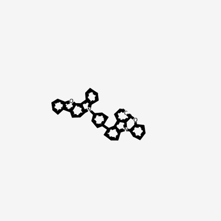 c1ccc2c(c1)Oc1cccc3c4c(-c5ccc(-n6c7ccccc7c7c8oc9ccccc9c8ccc76)cc5)cccc4n-2c13